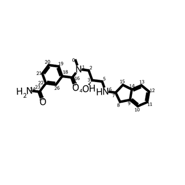 CN(C[C@@H](O)CNC1Cc2ccccc2C1)C(=O)c1cccc(C(N)=O)c1